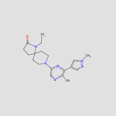 Cn1cc(-c2nc(N3CCC4(CCC(=O)N4CC(F)(F)F)CC3)cnc2C#N)cn1